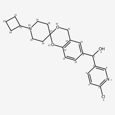 OC(c1ccc(Cl)nc1)c1ccc2c(c1)COC1(CCN(C3CCC3)CC1)O2